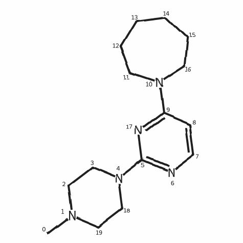 CN1CCN(c2nccc(N3CCCCCC3)n2)CC1